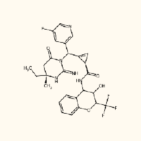 CC[C@]1(C)CC(=O)N(C(C2=C[C@H]2C(=O)NC2c3ccccc3OC(C(F)(F)F)C2O)c2cncc(F)c2)C(=N)N1